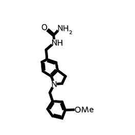 COc1cccc(CN2CCc3cc(CNC(N)=O)ccc32)c1